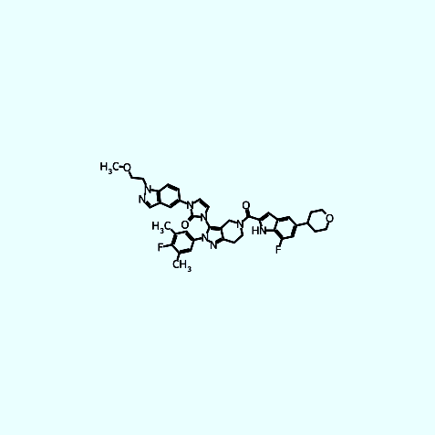 COCCn1ncc2cc(-n3ccn(-c4c5c(nn4-c4cc(C)c(F)c(C)c4)CCN(C(=O)c4cc6cc(C7CCOCC7)cc(F)c6[nH]4)C5)c3=O)ccc21